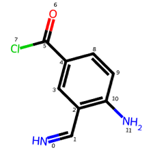 N=Cc1cc(C(=O)Cl)ccc1N